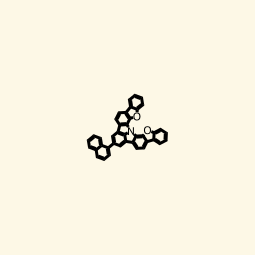 c1ccc2c(-c3cc4c5ccc6c7ccccc7oc6c5n5c4c(c3)c3ccc4c6ccccc6oc4c35)cccc2c1